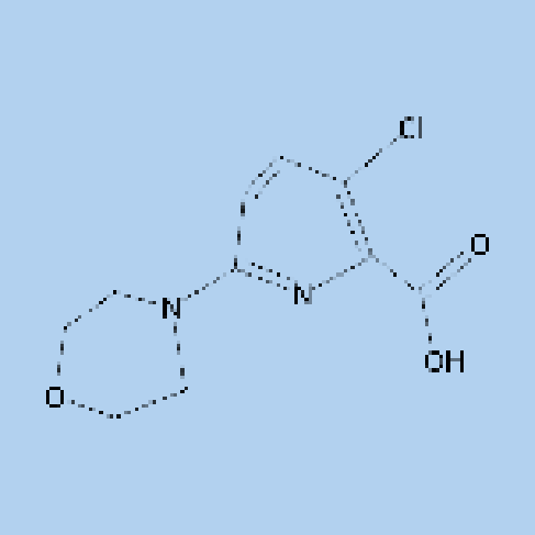 O=C(O)c1nc(N2CCOCC2)ccc1Cl